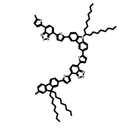 CCCCCCCCC(CCCCCCCC)n1c2ccc(-c3ccc(-c4ccc(-c5ccc(C)s5)c5nsnc45)s3)cc2c2cc(-c3ccc(-c4ccc(-c5ccc(-c6ccc7c(c6)C(CCCCCCCC)(CCCCCCCC)c6cc(C)ccc6-7)s5)c5nsnc45)s3)ccc21